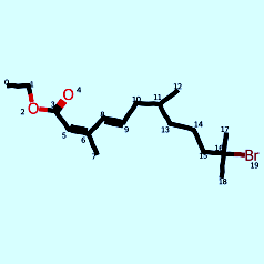 CCOC(=O)C=C(C)C=CCC(C)CCCC(C)(C)Br